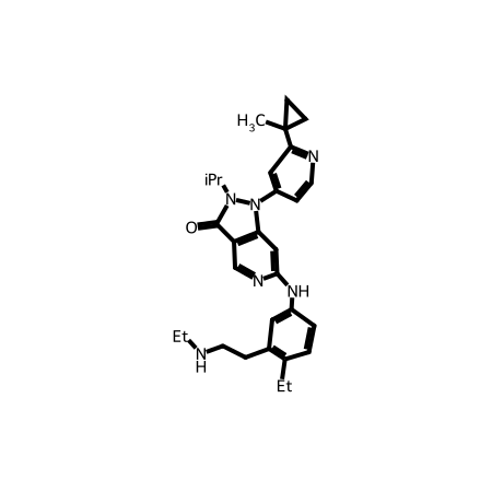 CCNCCc1cc(Nc2cc3c(cn2)c(=O)n(C(C)C)n3-c2ccnc(C3(C)CC3)c2)ccc1CC